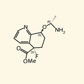 COC(=O)[C@]1(F)CC[C@H](O[C@H](C)N)c2ncccc21